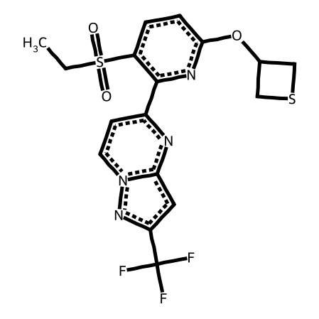 CCS(=O)(=O)c1ccc(OC2CSC2)nc1-c1ccn2nc(C(F)(F)F)cc2n1